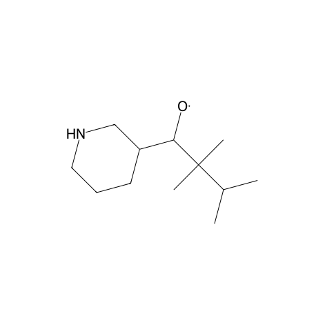 CC(C)C(C)(C)C([O])C1CCCNC1